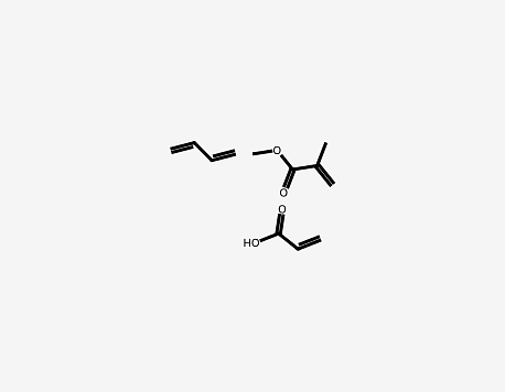 C=C(C)C(=O)OC.C=CC(=O)O.C=CC=C